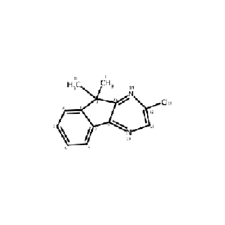 CC1(C)c2ccccc2-c2ncc(Cl)nc21